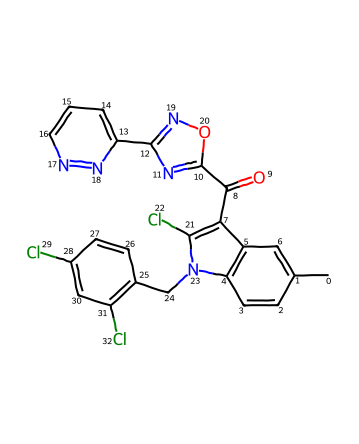 Cc1ccc2c(c1)c(C(=O)c1nc(-c3cccnn3)no1)c(Cl)n2Cc1ccc(Cl)cc1Cl